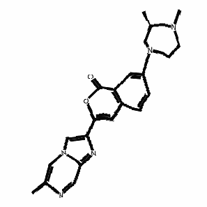 Cc1cn2cc(-c3cc4ccc(N5CCN(C)[C@H](C)C5)cc4c(=O)o3)nc2cn1